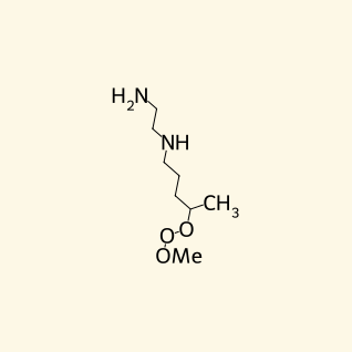 COOOC(C)CCCNCCN